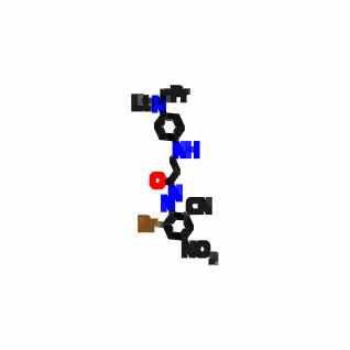 CCCN(CC)c1ccc(NCCC(=O)N=Nc2c(Br)cc([N+](=O)[O-])cc2C#N)cc1